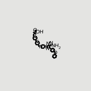 CC(C)(CN1CCC(N2CCC(CN3CCC(n4nc(-c5ccc(Oc6ccccc6)cc5)c5c(N)ncnc54)CC3)CC2)CC1)C(=O)O